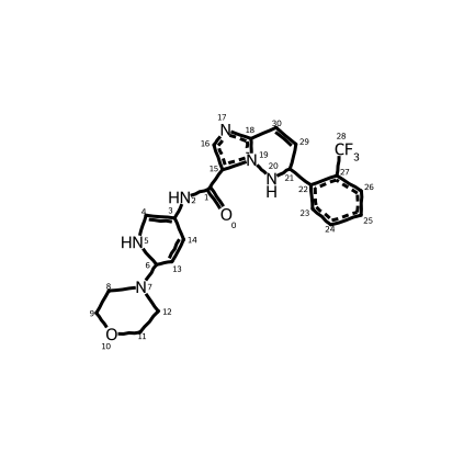 O=C(NC1=CNC(N2CCOCC2)C=C1)c1cnc2n1NC(c1ccccc1C(F)(F)F)C=C2